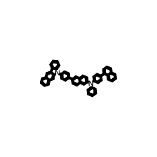 c1ccc(N(c2ccc(-c3cccc4ccccc34)cc2)c2ccc3cc(-c4ccc(-n5c6ccccc6c6cc7ccccc7cc65)cc4)ccc3c2)cc1